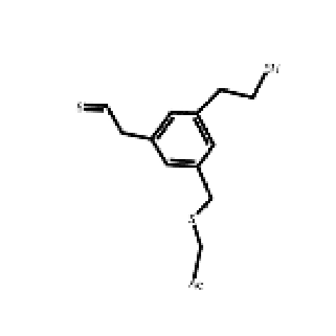 CC(=O)CSCc1cc(CC=S)cc(CCS)c1